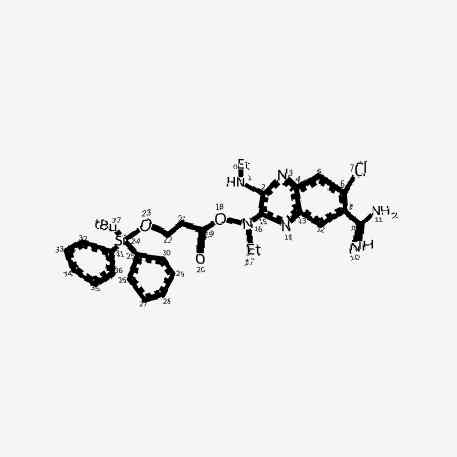 CCNc1nc2cc(Cl)c(C(=N)N)cc2nc1N(CC)OC(=O)CCO[Si](c1ccccc1)(c1ccccc1)C(C)(C)C